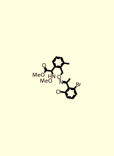 CONC(C(=O)OC)c1cccc(C)c1CO/N=C(\C)c1c(Cl)cccc1Br